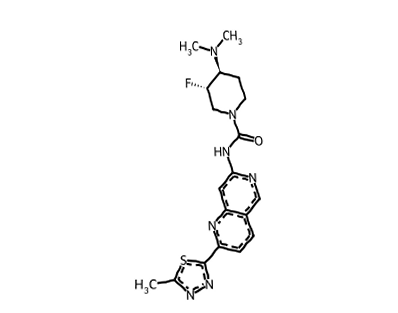 Cc1nnc(-c2ccc3cnc(NC(=O)N4CC[C@H](N(C)C)[C@@H](F)C4)cc3n2)s1